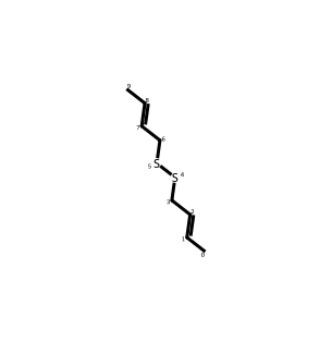 C/C=C/CSSC/C=C/C